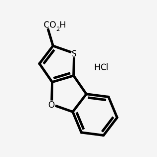 Cl.O=C(O)c1cc2oc3ccccc3c2s1